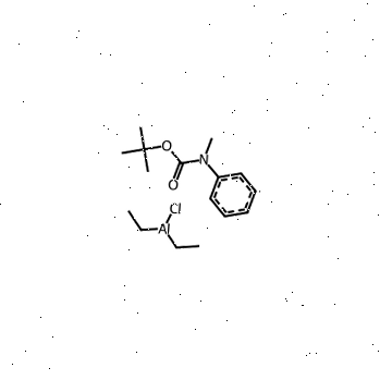 CN(C(=O)OC(C)(C)C)c1c[c]ccc1.C[CH2][Al]([Cl])[CH2]C